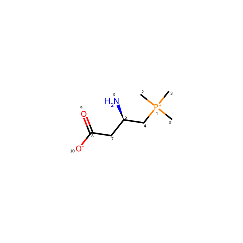 C[P+](C)(C)C[C@H](N)CC(=O)[O-]